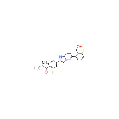 CN(C)C(=O)c1ccc(-c2cn3cc(-c4cccc(F)c4CO)ccc3n2)cc1F